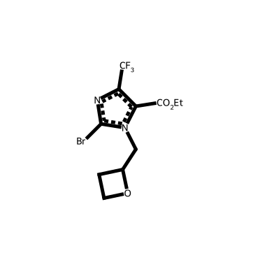 CCOC(=O)c1c(C(F)(F)F)nc(Br)n1CC1CCO1